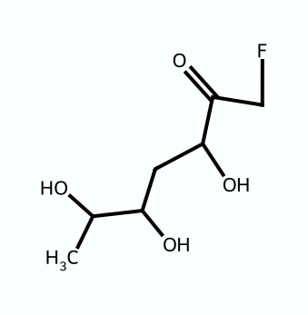 CC(O)C(O)CC(O)C(=O)CF